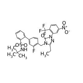 CCc1nn(-c2cc([N+](=O)[O-])ccc2C(F)(F)F)c(=O)n1Cc1ccc(-c2ccccc2S(=O)(=O)NC(C)(C)C)cc1F